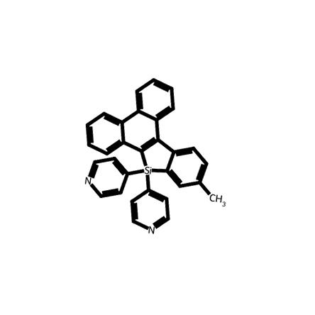 Cc1ccc2c(c1)[Si](c1ccncc1)(c1ccncc1)c1c-2c2ccccc2c2ccccc12